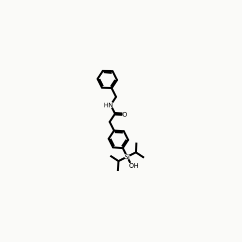 CC(C)[Si](O)(c1ccc(CC(=O)NCc2ccccc2)cc1)C(C)C